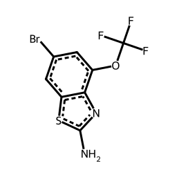 Nc1nc2c(OC(F)(F)F)cc(Br)cc2s1